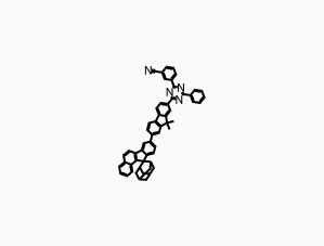 CC1(C)c2cc(-c3ccc4c(c3)-c3ccc5ccccc5c3C43C4CC5CC(C4)CC3C5)ccc2-c2ccc(-c3nc(-c4ccccc4)nc(-c4cccc(C#N)c4)n3)cc21